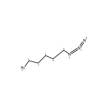 CC(=O)CCCCCN=[N+]=[N-]